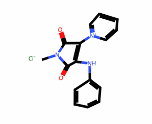 CN1C(=O)C(Nc2ccccc2)=C([n+]2ccccc2)C1=O.[Cl-]